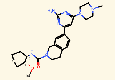 CCO[C@@H]1CCCC[C@@H]1NC(=O)N1CCc2ccc(-c3cc(N4CCN(C)CC4)nc(N)n3)cc2C1